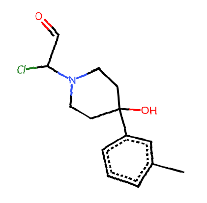 Cc1cccc(C2(O)CCN(C(Cl)C=O)CC2)c1